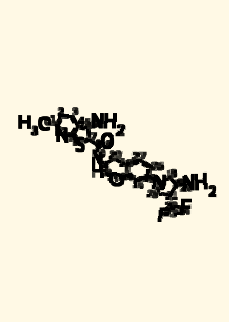 Cc1ccc2c(N)c(C(=O)N[C@H]3COc4cc(N5C[C@@H](N)[C@H](C(F)F)C5)ccc4C3)sc2n1